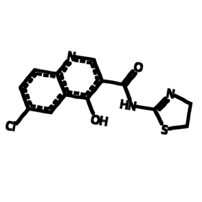 O=C(NC1=NCCS1)c1cnc2ccc(Cl)cc2c1O